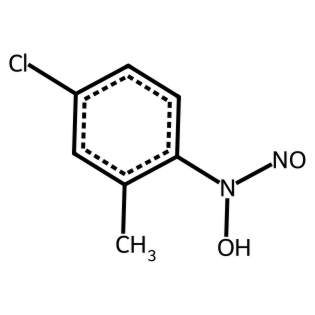 Cc1cc(Cl)ccc1N(O)N=O